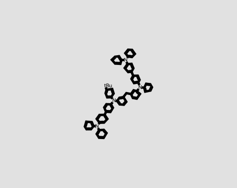 CC(C)(C)c1ccc(N(c2ccc(-c3ccc(N(c4ccccc4)c4ccccc4)cc3)cc2)c2cccc(Cc3cccc(N(c4ccccc4)c4ccc(-c5ccc(N(c6ccccc6)c6ccccc6)cc5)cc4)c3)c2)cc1